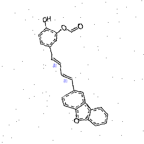 O=COc1cc(/C=C/C=C/c2ccc3oc4ccccc4c3c2)ccc1O